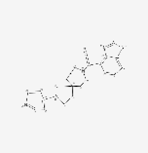 O=C(c1cccc2s[c]nc12)N1CCC2(CC1)CCN(c1ccncc1)C2